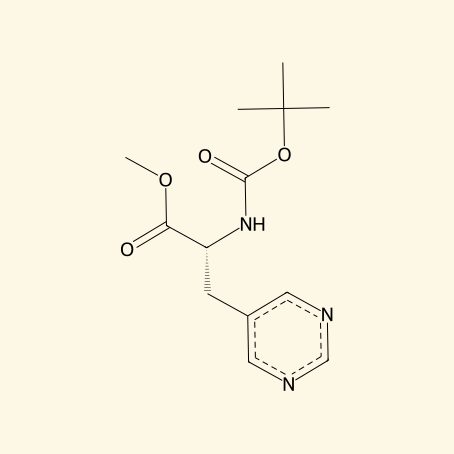 COC(=O)[C@@H](Cc1cncnc1)NC(=O)OC(C)(C)C